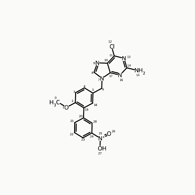 COc1ccc(Cn2cnc3c(Cl)nc(N)nc32)cc1-c1cccc([N+](=O)O)c1